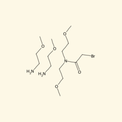 COCCN.COCCN.COCCN(CCOC)C(=O)CBr